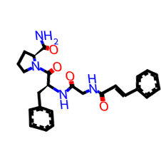 NC(=O)[C@@H]1CCCN1C(=O)[C@H](Cc1ccccc1)NC(=O)CNC(=O)C=Cc1ccccc1